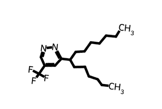 CCCCCCCC(CCCCCC)c1cc(C(F)(F)F)cnn1